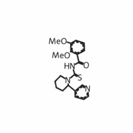 COc1cccc(C(=O)NC(=S)N2CCCCC2c2cccnc2)c1OC